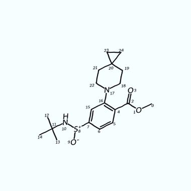 COC(=O)c1ccc([S+]([O-])NC(C)(C)C)cc1N1CCC2(CC1)CC2